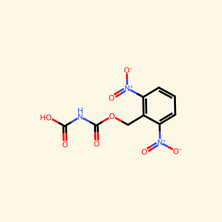 O=C(O)NC(=O)OCc1c([N+](=O)[O-])cccc1[N+](=O)[O-]